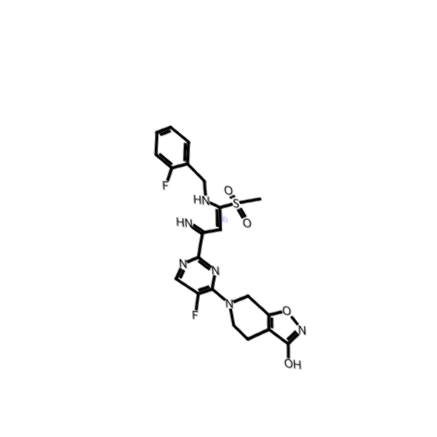 CS(=O)(=O)/C(=C/C(=N)c1ncc(F)c(N2CCc3c(O)noc3C2)n1)NCc1ccccc1F